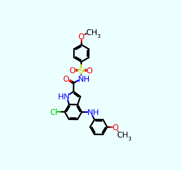 COc1ccc(S(=O)(=O)NC(=O)c2cc3c(Nc4cccc(OC)c4)ccc(Cl)c3[nH]2)cc1